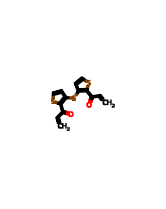 C=CC(=O)c1sccc1Sc1ccsc1C(=O)C=C